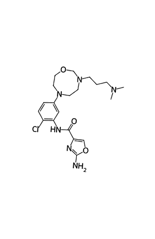 CN(C)CCCN1CCN(c2ccc(Cl)c(NC(=O)c3coc(N)n3)c2)CCOC1